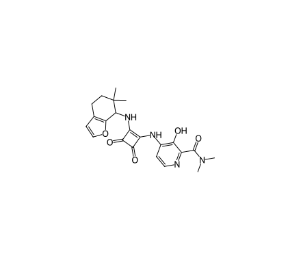 CN(C)C(=O)c1nccc(Nc2c(NC3c4occc4CCC3(C)C)c(=O)c2=O)c1O